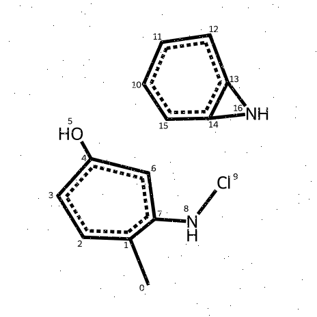 Cc1ccc(O)cc1NCl.c1ccc2c(c1)N2